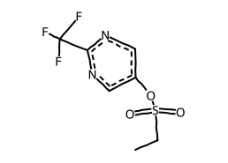 CCS(=O)(=O)Oc1cnc(C(F)(F)F)nc1